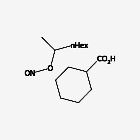 CCCCCCC(C)ON=O.O=C(O)C1CCCCC1